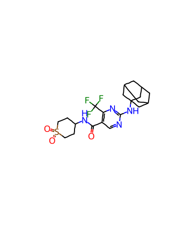 O=C(NC1CCS(=O)(=O)CC1)c1cnc(NC23CC4CC(CC(C4)C2)C3)nc1C(F)(F)F